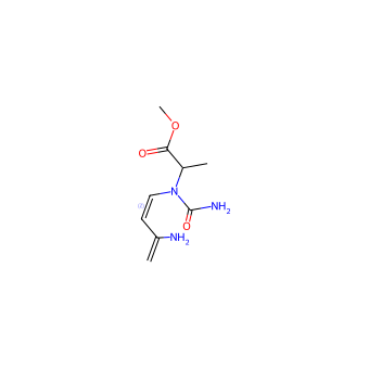 C=C(N)/C=C\N(C(N)=O)C(C)C(=O)OC